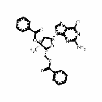 C[C@]1(OC(=O)c2ccccc2)C[C@H](n2cnc3c(Cl)nc(N)nc32)O[C@@H]1COC(=O)c1ccccc1